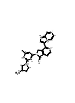 Cc1cc(N2Cc3c(ccnc3-c3cnc4cnccn34)C2=O)nc(N2CCC(N)C2)n1